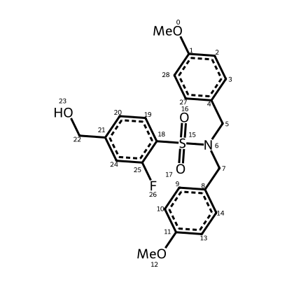 COc1ccc(CN(Cc2ccc(OC)cc2)S(=O)(=O)c2ccc(CO)cc2F)cc1